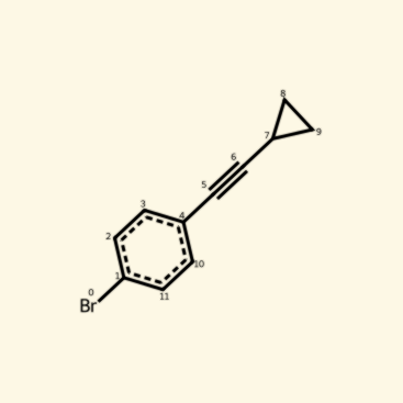 Brc1ccc(C#CC2CC2)cc1